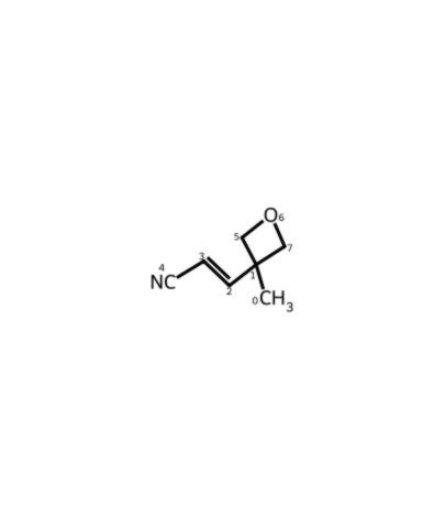 CC1(C=CC#N)COC1